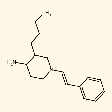 CCCCC1CN(C=Cc2ccccc2)CCC1N